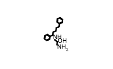 NCC(O)CNC(CCCCc1ccccc1)c1ccccc1